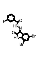 O=C1Nc2c(Br)cc(Br)cc2/C1=N/NC(=O)c1cccc(F)c1